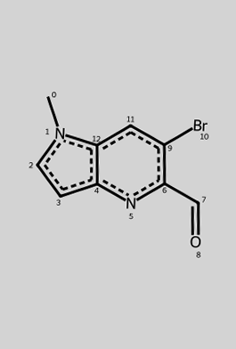 Cn1ccc2nc(C=O)c(Br)cc21